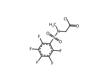 CN(CC(=O)Cl)S(=O)(=O)c1c(F)c(F)c(F)c(F)c1F